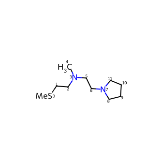 CSCCN(C)CCN1CCCC1